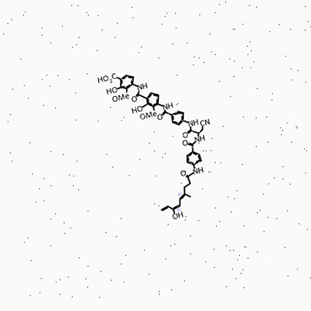 C=C/C(O)=C\C=C(/C)CCC(=O)Nc1ccc(C(=O)NC(CC#N)C(=O)Nc2ccc(C(=O)Nc3ccc(C(=O)Nc4ccc(C(=O)O)c(O)c4OC)c(O)c3OC)cc2)cc1